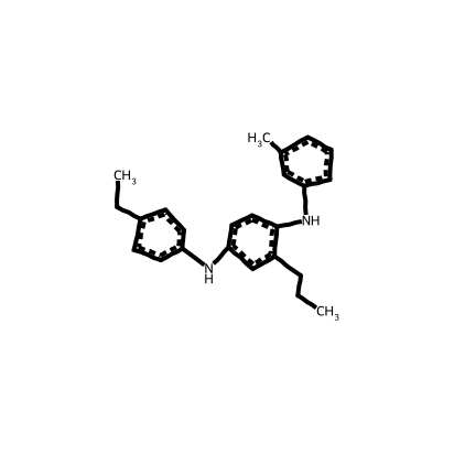 CCCc1cc(Nc2ccc(CC)cc2)ccc1Nc1cccc(C)c1